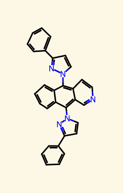 c1ccc(-c2ccn(-c3c4ccccc4c(-n4ccc(-c5ccccc5)n4)c4cnccc34)n2)cc1